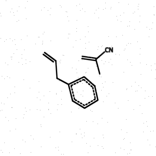 C=C(C)C#N.C=CCc1ccccc1